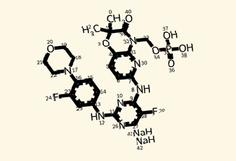 CC1(C)Oc2ccc(Nc3nc(Nc4ccc(N5CCOCC5)c(F)c4)ncc3F)nc2N(COP(=O)(O)O)C1=O.[NaH].[NaH]